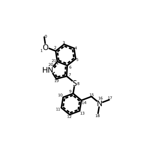 COc1cccc2c(Sc3ccccc3CN(C)C)c[nH]c12